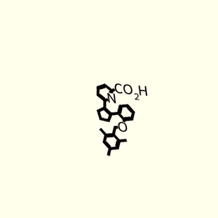 Cc1cc(C)c(COc2ccccc2C2=C(c3cccc(C(=O)O)n3)CCC2)c(C)c1